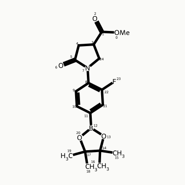 COC(=O)C1CC(=O)N(c2ccc(B3OC(C)(C)C(C)(C)O3)cc2F)C1